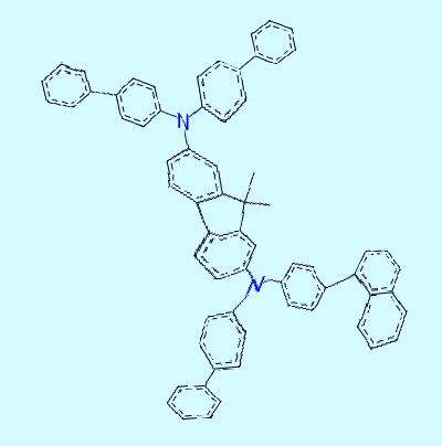 CC1(C)c2cc(N(c3ccc(-c4ccccc4)cc3)c3ccc(-c4ccccc4)cc3)ccc2-c2ccc(N(c3ccc(-c4ccccc4)cc3)c3ccc(-c4cccc5ccccc45)cc3)cc21